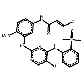 COc1ccc(NC(=O)C=CCl)cc1Nc1ncc(Cl)c(Nc2ccccc2P(C)(C)=O)n1